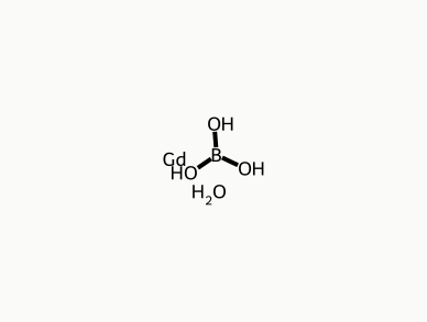 O.OB(O)O.[Gd]